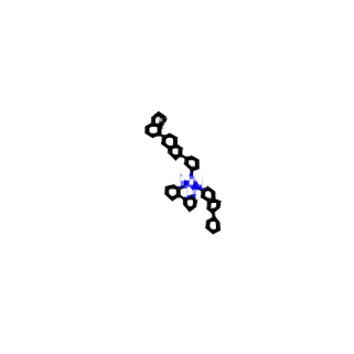 c1ccc(-c2ccc3ccc(-c4nc(-c5cccc(-c6ccc7cc(-c8cccc9ccccc89)ccc7c6)c5)nc(-c5ccccc5-c5ccccc5)n4)cc3c2)cc1